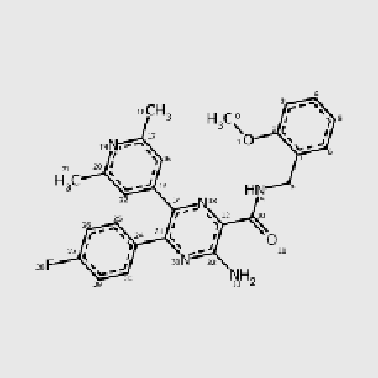 COc1ccccc1CNC(=O)c1nc(-c2cc(C)nc(C)c2)c(-c2ccc(F)cc2)nc1N